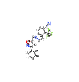 N#Cc1ccc2c(ccn2Cc2cc(-c3ccccc3)no2)c1C(F)(F)F